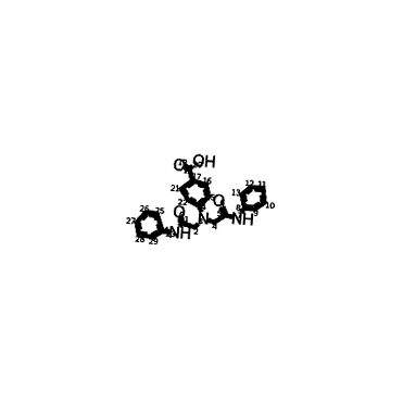 O=C(CN(CC(=O)Nc1ccccc1)c1ccc(C(=O)O)cc1)Nc1ccccc1